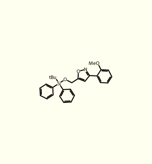 COc1ccccc1-c1cc(CO[Si](c2ccccc2)(c2ccccc2)C(C)(C)C)on1